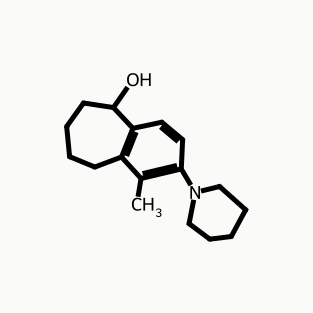 Cc1c(N2CCCCC2)ccc2c1CCCCC2O